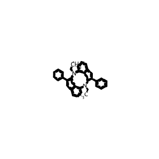 CCn1c2cc3c(cccc3n(CC)c3cc4c(cccc41)cc3-c1ccccc1)cc2-c1ccccc1